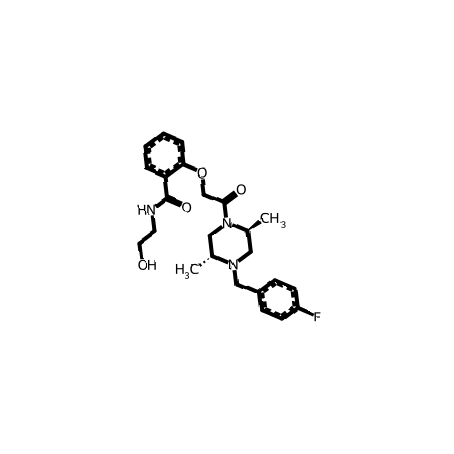 C[C@@H]1CN(C(=O)COc2ccccc2C(=O)NCCO)[C@@H](C)CN1Cc1ccc(F)cc1